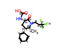 C[C@@H]1[C@H](c2ccccc2)C[C@H](NC(=O)O)C(=O)N1CCC(F)(F)F